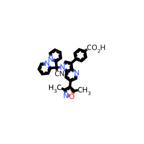 Cc1noc(C)c1-c1cnc2c(-c3ccc(C(=O)O)cc3)cn(C(C#N)(c3ccccn3)c3ccccn3)c2c1